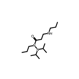 CCCNCCC(=O)N(CCC)N(C(C)C)C(C)C